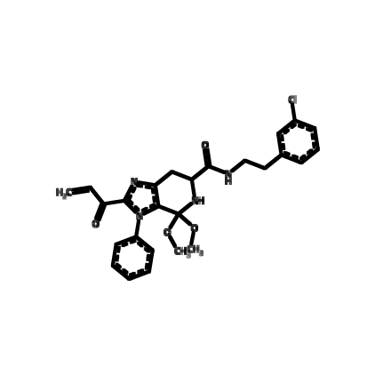 C=CC(=O)c1nc2c(n1-c1ccccc1)C(OC)(OC)NC(C(=O)NCCc1cccc(Cl)c1)C2